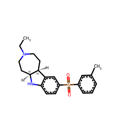 CCN1CC[C@@H]2Nc3ccc(S(=O)(=O)c4cccc(C)c4)cc3[C@@H]2CC1